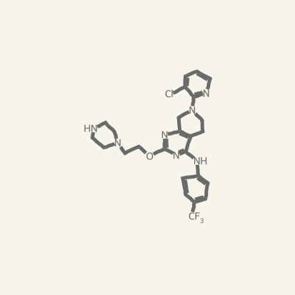 FC(F)(F)c1ccc(Nc2nc(OCCN3CCNCC3)nc3c2CCN(c2ncccc2Cl)C3)cc1